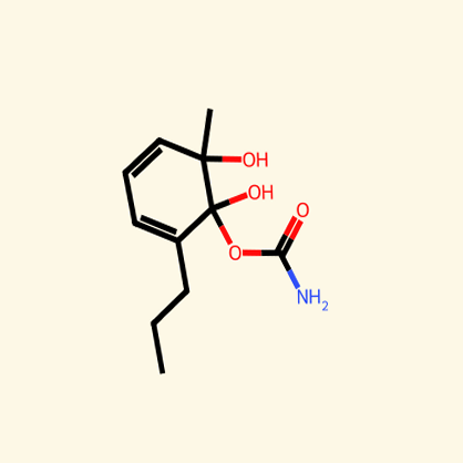 CCCC1=CC=CC(C)(O)C1(O)OC(N)=O